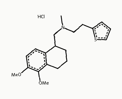 COc1ccc2c(c1OC)CCCC2CN(C)CCc1cccs1.Cl